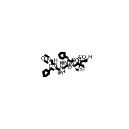 C#CC(OC(=O)O)[C@](C)(CI)C(=O)[C@H](CC(C)C)NC(=O)[C@H](Cc1ccccc1)NC(=O)[C@H](CC(C)C)NC(=O)[C@H](CCc1ccccc1)NC(=O)CN1CCOCC1